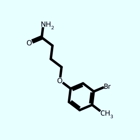 Cc1ccc(OCCCC(N)=O)cc1Br